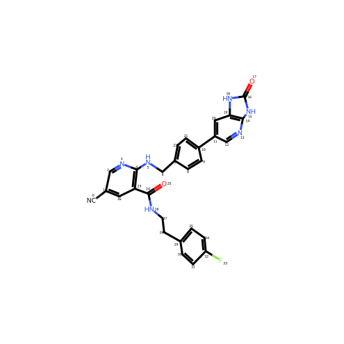 N#Cc1cnc(NCc2ccc(-c3cnc4[nH]c(=O)[nH]c4c3)cc2)c(C(=O)NCCc2ccc(F)cc2)c1